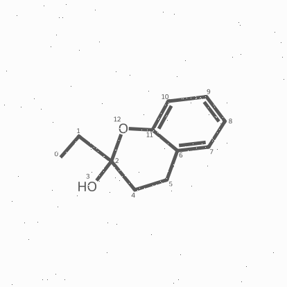 CCC1(O)CCc2ccccc2O1